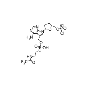 Nc1ncnc2c1c(CO[P@@](=O)(O)OCCNC(=O)C(F)(F)F)cn2C1CCC(COP(=O)(Cl)Cl)O1